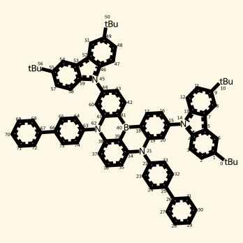 CC(C)(C)c1ccc2c(c1)c1cc(C(C)(C)C)ccc1n2-c1ccc2c(c1)N(c1ccc(-c3ccccc3)cc1)c1cccc3c1B2c1ccc(-n2c4ccc(C(C)(C)C)cc4c4cc(C(C)(C)C)ccc42)cc1N3c1ccc(-c2ccccc2)cc1